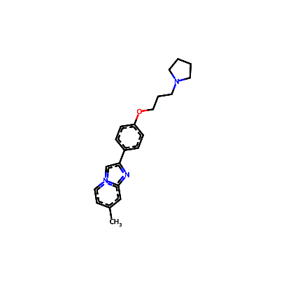 Cc1ccn2cc(-c3ccc(OCCCN4CCCC4)cc3)nc2c1